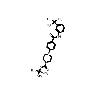 CC(C)(C)OC(=O)N1CCN(c2ccc(C(=O)Nc3cccc(C(C)(C)C)c3)cn2)CC1